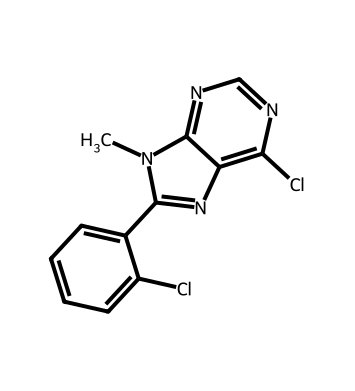 Cn1c(-c2ccccc2Cl)nc2c(Cl)ncnc21